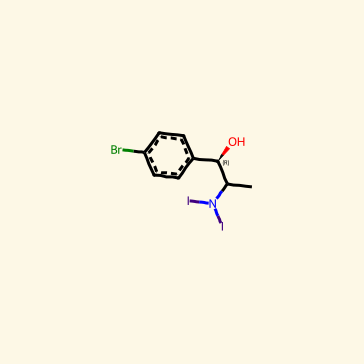 CC([C@H](O)c1ccc(Br)cc1)N(I)I